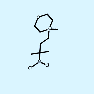 CC(C)(CC[N+]1(C)CCOCC1)N(Cl)Cl